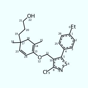 CCc1ccc(-c2snc(Cl)c2COC2=C(C)CC(C)(CCCO)C=C2)cc1